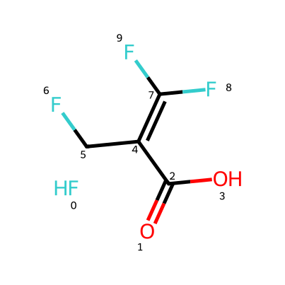 F.O=C(O)C(CF)=C(F)F